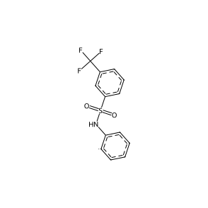 O=S(=O)(Nc1[c]cccc1)c1cccc(C(F)(F)F)c1